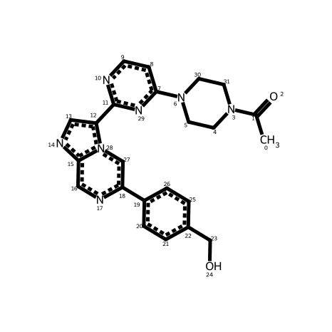 CC(=O)N1CCN(c2ccnc(-c3cnc4cnc(-c5ccc(CO)cc5)cn34)n2)CC1